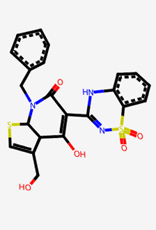 O=C1C(C2=NS(=O)(=O)c3ccccc3N2)=C(O)C2C(CO)=CSC2N1Cc1ccccc1